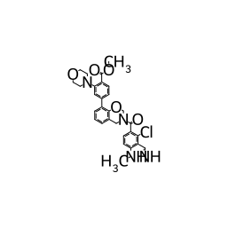 CNc1ccc(C(=O)N2COc3c(cccc3-c3ccc(C(=O)OC)c(N4CCOCC4)c3)C2)c(Cl)c1C=N